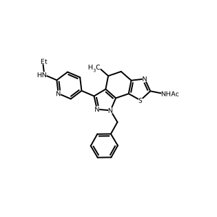 CCNc1ccc(-c2nn(Cc3ccccc3)c3c2C(C)Cc2nc(NC(C)=O)sc2-3)cn1